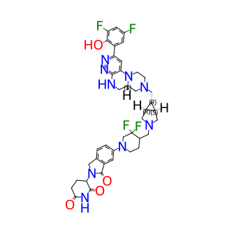 O=C1CCC(N2Cc3ccc(N4CCC(CN5C[C@@H]6[C@H](C5)[C@H]6CN5CCN6c7cc(-c8cc(F)cc(F)c8O)nnc7NC[C@H]6C5)C(F)(F)C4)cc3C2=O)C(=O)N1